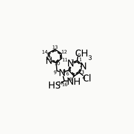 Cc1nc(Cl)c2c(n1)N(Cc1ccccn1)C(S)N2